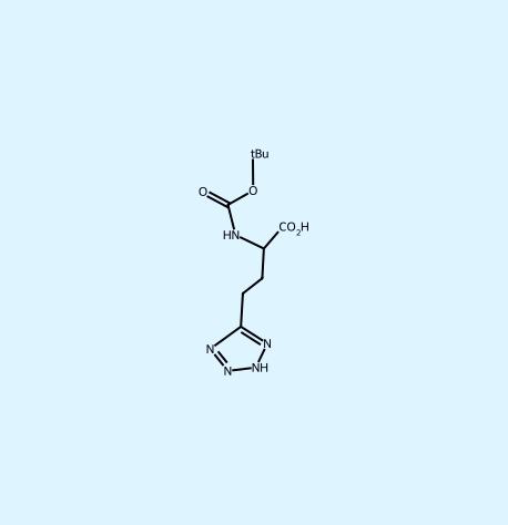 CC(C)(C)OC(=O)NC(CCc1nn[nH]n1)C(=O)O